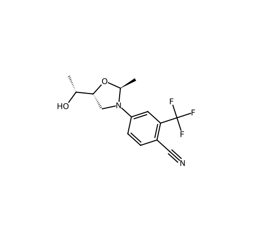 C[C@@H]1O[C@@H]([C@@H](C)O)CN1c1ccc(C#N)c(C(F)(F)F)c1